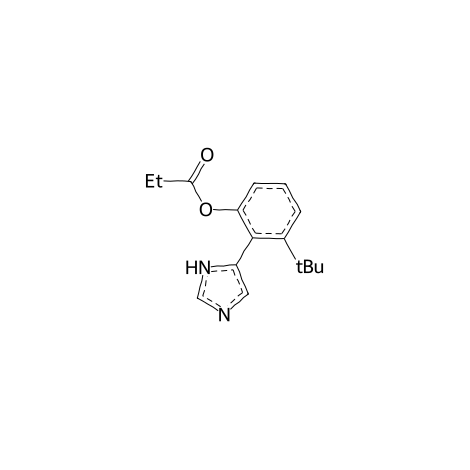 CCC(=O)Oc1cccc(C(C)(C)C)c1-c1cnc[nH]1